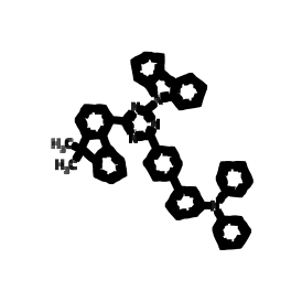 CC1(C)c2ccccc2-c2c(-c3nc(-c4ccc(-c5cccc(N(c6ccccc6)c6ccccc6)c5)cc4)nc(-n4c5ccccc5c5ccccc54)n3)cccc21